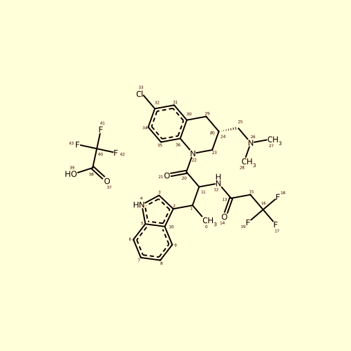 CC(c1c[nH]c2ccccc12)C(NC(=O)CC(F)(F)F)C(=O)N1C[C@@H](CN(C)C)Cc2cc(Cl)ccc21.O=C(O)C(F)(F)F